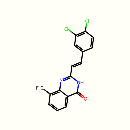 O=c1[nH]c(/C=C/c2ccc(Cl)c(Cl)c2)nc2c(C(F)(F)F)cccc12